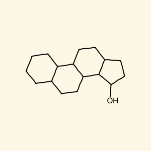 OC1CCC2CCC3C4CCCCC4CCC3C12